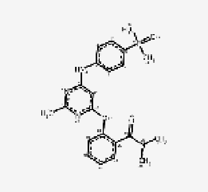 Cc1nc(Nc2ccc(P(C)(C)=O)cc2)cc(Oc2ccccc2C(=O)N(C)C)n1